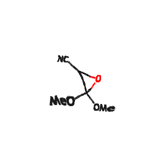 COC1(OC)OC1C#N